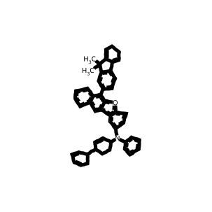 CC1(C)C2=CCCC=C2c2ccc(-c3c4ccccc4cc4c3oc3ccc(N(c5ccccc5)C5C=CC(C6C=CC=CC6)CC5)cc34)cc21